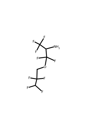 NC(C(F)(F)F)C(F)(F)OCC(F)(F)C(F)F